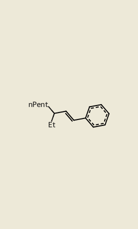 CCCCCC(C=Cc1ccccc1)CC